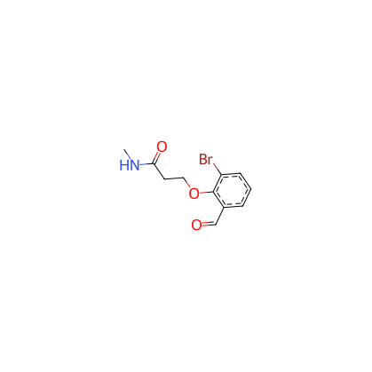 CNC(=O)CCOc1c(Br)cccc1C=O